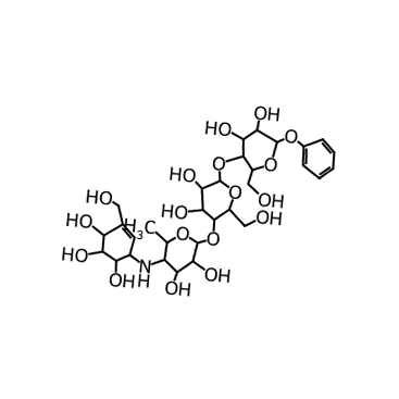 CC1OC(OC2C(CO)OC(OC3C(CO)OC(Oc4ccccc4)C(O)C3O)C(O)C2O)C(O)C(O)C1NC1C=C(CO)C(O)C(O)C1O